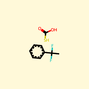 CC(F)(F)c1ccccc1.O=C(O)S